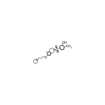 Cc1ccc(S(=O)(=O)N2CCc3sc(OCCCN4CCCC4)cc3C2)cc1O